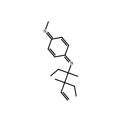 C=CC(C)(CC)C(C)(CC)N=C1C=CC(=NC)C=C1